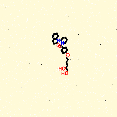 O=C(c1ccc(OCCCCC(O)CO)cc1)N1CCCCC1N1C(=O)CCc2ccccc21